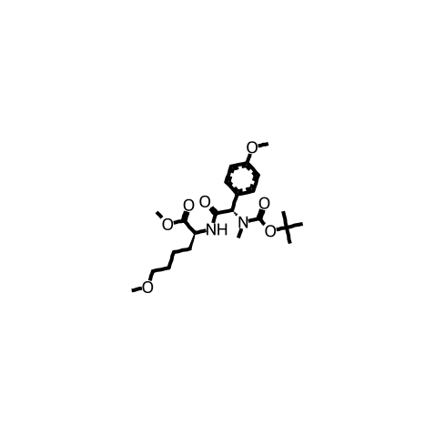 COCCCC[C@H](NC(=O)[C@H](c1ccc(OC)cc1)N(C)C(=O)OC(C)(C)C)C(=O)OC